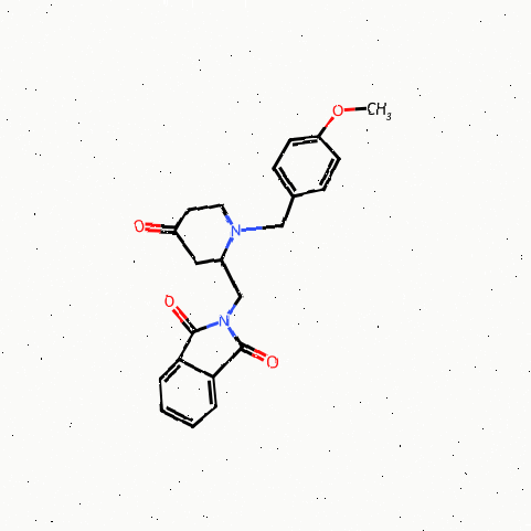 COc1ccc(CN2CCC(=O)CC2CN2C(=O)c3ccccc3C2=O)cc1